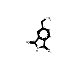 CCc1ccc2c(c1)C(=O)OC2=O